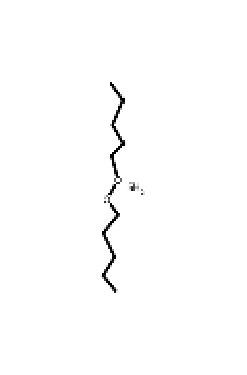 CCCCCOOCCCCC.S